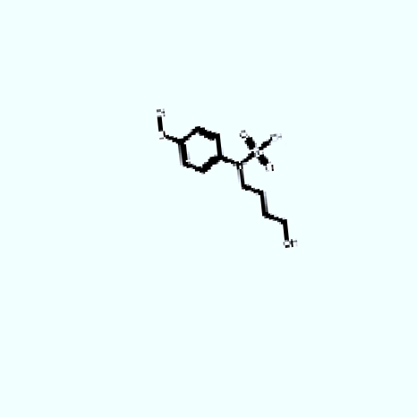 CCOc1ccc(N(CCCCO)S(C)(=O)=O)cc1